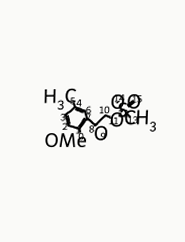 COc1ccc(C)cc1C(=O)COS(C)(=O)=O